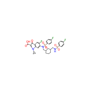 O=C(O)c1cn(C2CC2)c2cc(N(CC3CCCC(CNS(=O)(=O)c4ccc(F)cc4)C3)S(=O)(=O)c3ccc(F)cc3)c(F)cc2c1=O